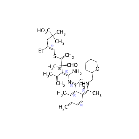 C=C\C=C/C(C(=C/C)/C(C)=N/C(N)=C(\C(=C)C)[C@@](C)(C=O)C(=C)S/C=C(\CC)CC(C)(C)C(=O)O)=C(\C)NCC1CCCCO1